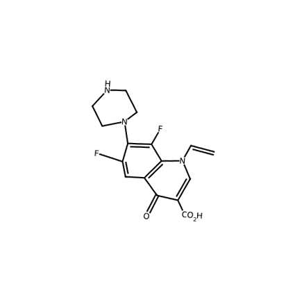 C=Cn1cc(C(=O)O)c(=O)c2cc(F)c(N3CCNCC3)c(F)c21